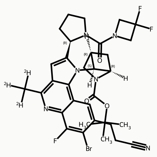 [2H]C([2H])([2H])c1nc2c(F)c(Br)c(CCC#N)cc2c2c1cc([C@H]1CCCN1C(=O)N1CC(F)(F)C1)n2[C@H]1[C@@H]2C[C@H]1N(C(=O)OC(C)(C)C)C2